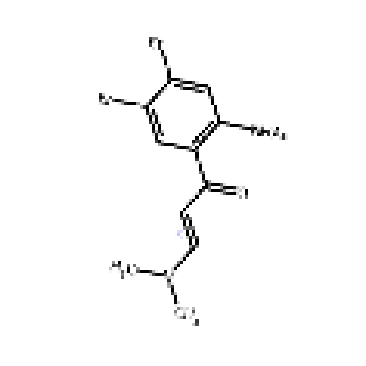 CCc1cc(NC(C)=O)c(C(=O)/C=C/N(C)C)cc1Br